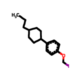 CCCC1CCC(c2ccc(OCI)cc2)CC1